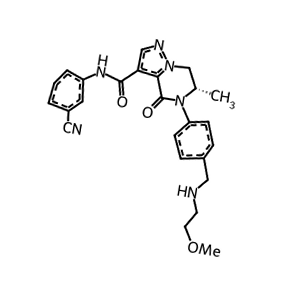 COCCNCc1ccc(N2C(=O)c3c(C(=O)Nc4cccc(C#N)c4)cnn3C[C@@H]2C)cc1